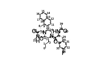 CCC[C@H]1C(=O)N([C@@H](Cc2cccc3ccccc23)C(=O)NC)CCN1C(=O)[C@@H](Cc1ccc(F)cc1)NC(C)=O